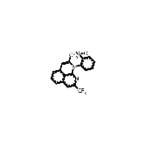 COc1ccccc1N1C(C(F)(F)F)=Cc2cccc3cc(C(F)(F)F)nc1c23